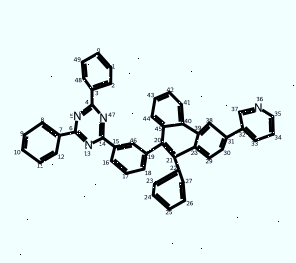 c1ccc(-c2nc(-c3ccccc3)nc(-c3cccc(-c4c(-c5ccccc5)c5ccc(-c6cccnc6)cc5c5ccccc45)c3)n2)cc1